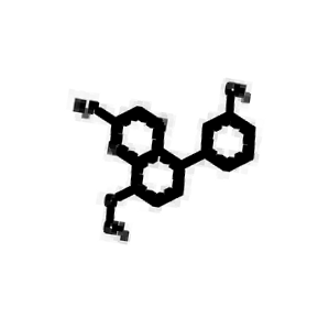 COc1ccc(-c2cccc(C)c2)c2ncc(P)nc12